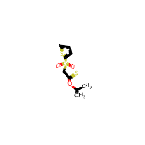 CC(C)OC(=S)CS(=O)(=O)c1cccs1